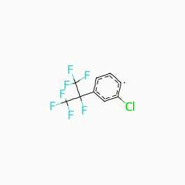 FC(F)(F)C(F)(c1cc[c]c(Cl)c1)C(F)(F)F